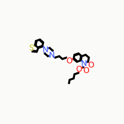 CCCCCOC(=O)N1C(=O)CCc2ccc(OCCCCN3CCN(c4cccc5sccc45)CC3)cc21